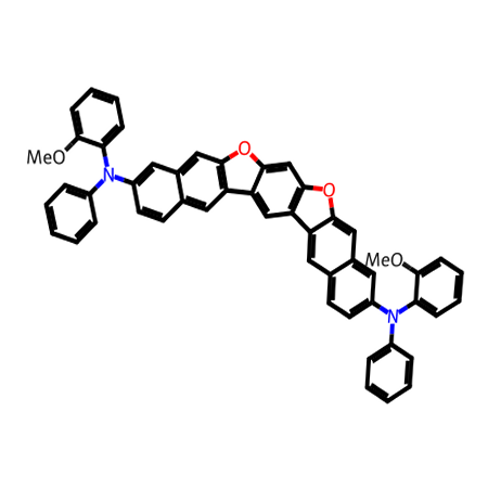 COc1ccccc1N(c1ccccc1)c1ccc2cc3c(cc2c1)oc1cc2oc4cc5cc(N(c6ccccc6)c6ccccc6OC)ccc5cc4c2cc13